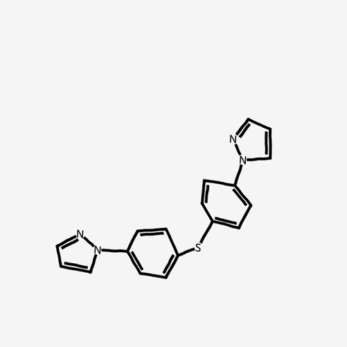 c1cnn(-c2ccc(Sc3ccc(-n4cccn4)cc3)cc2)c1